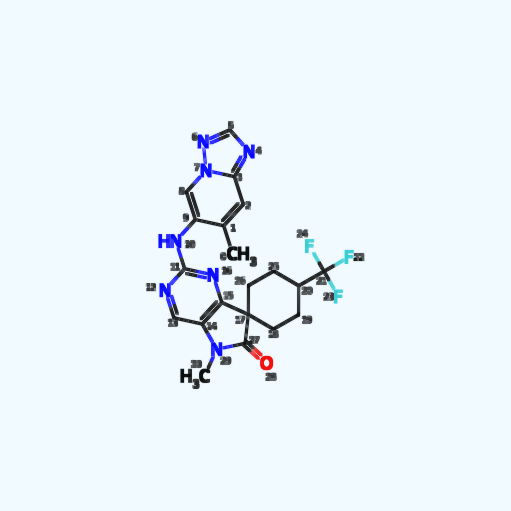 Cc1cc2ncnn2cc1Nc1ncc2c(n1)C1(CCC(C(F)(F)F)CC1)C(=O)N2C